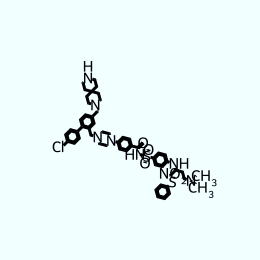 CN(C)CCC(CSc1ccccc1)Nc1ccc(S(=O)(=O)NC(=O)c2ccc(N3CCN(Cc4cc(CN5CCC6(CCNCC6)CC5)ccc4-c4ccc(Cl)cc4)CC3)cc2)cc1[N+](=O)[O-]